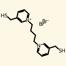 SCc1ccc[n+](CCCC[n+]2cccc(CS)c2)c1.[Br-].[Br-]